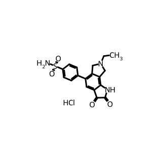 CCN1Cc2c(-c3ccc(S(N)(=O)=O)cc3)cc3c(c2C1)NC(=O)C3=O.Cl